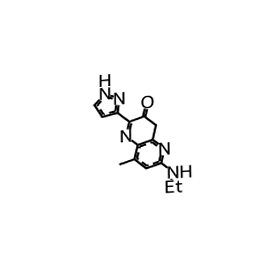 CCNc1cc(C)c2c(n1)CC(=O)C(c1cc[nH]n1)=N2